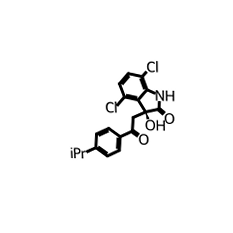 CC(C)c1ccc(C(=O)C[C@@]2(O)C(=O)Nc3c(Cl)ccc(Cl)c32)cc1